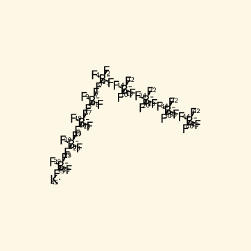 F[B-](F)(F)F.F[B-](F)(F)F.F[B-](F)(F)F.F[B-](F)(F)F.F[B-](F)(F)F.F[B-](F)(F)F.F[B-](F)(F)F.F[B-](F)(F)F.F[B-](F)(F)F.[K]